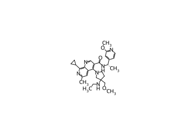 CCNC1(COC)CCN(c2c(C(=O)N[C@@H](C)c3ccnc(OC)c3)cnc3c(C4CC4)nc(C)cc23)C1